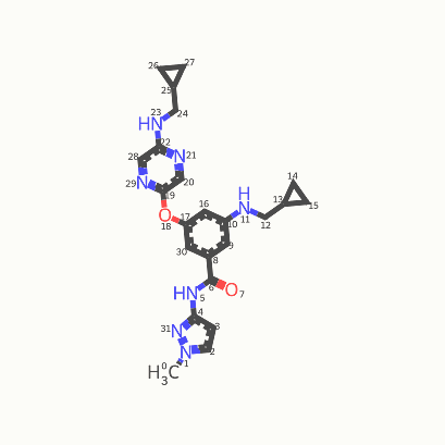 Cn1ccc(NC(=O)c2cc(NCC3CC3)cc(Oc3cnc(NCC4CC4)cn3)c2)n1